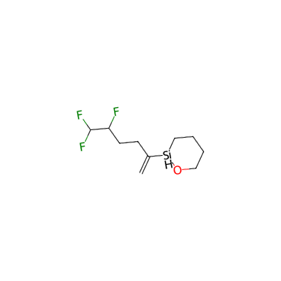 C=C(CCC(F)C(F)F)[SiH]1CCCCO1